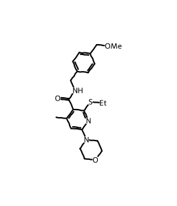 CCSc1nc(N2CCOCC2)cc(C)c1C(=O)NCc1ccc(COC)cc1